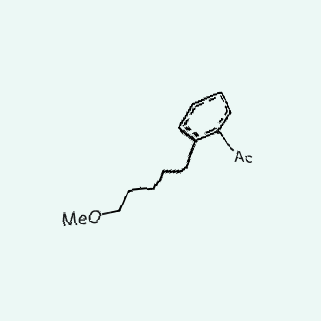 COCCCCCc1ccccc1C(C)=O